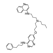 CCCCN(CCCNc1ccnc2ccccc12)CCCOc1ccc2c(NCCCc3ccccc3)ncnc2c1